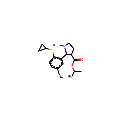 CC(OC(=O)C1CCN(C(=O)O)C1c1cc([N+](=O)[O-])ccc1SC1CC1)C(C)(C)C